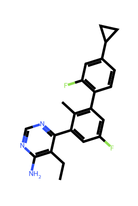 CCc1c(N)ncnc1-c1cc(F)cc(-c2ccc(C3CC3)cc2F)c1C